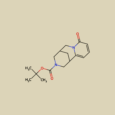 CC(C)(C)OC(=O)N1CC2CC(C1)c1cccc(=O)n1C2